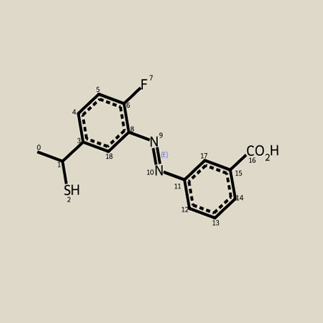 CC(S)c1ccc(F)c(/N=N/c2cccc(C(=O)O)c2)c1